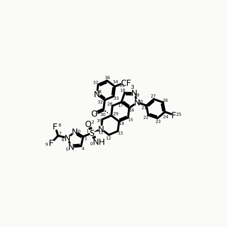 N=[S@@](=O)(c1cnn(C(F)F)n1)N1CCC2=Cc3c(cnn3-c3ccc(F)cc3)C[C@]2(C(=O)c2cc(C(F)(F)F)ccn2)C1